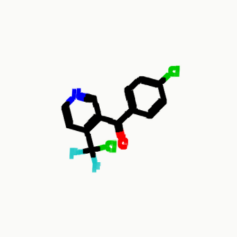 O=C(c1ccc(Cl)cc1)c1cnccc1C(F)(F)Cl